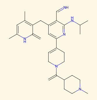 C=C1NC(C)=CC(C)=C1Cc1cc(C2=CCN(C(=C)C3CCN(C)CC3)CC2)nc(NC(C)C)c1C=N